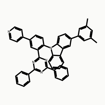 Cc1cc(C)cc(-c2ccc3c(c2)c2ccccc2n3-c2ccc(-c3ccncc3)cc2-c2nc(-c3ccccc3)nc(-c3ccccc3)n2)c1